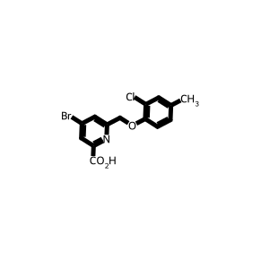 Cc1ccc(OCc2cc(Br)cc(C(=O)O)n2)c(Cl)c1